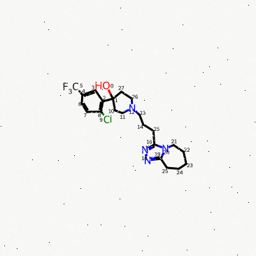 OC1(c2cc(C(F)(F)F)ccc2Cl)CCN(CCCc2nnc3n2CCCCC3)CC1